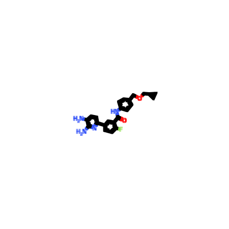 Nc1ccc(-c2ccc(F)c(C(=O)Nc3ccc(COCC4CC4)cc3)c2)nc1N